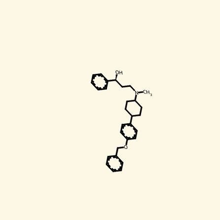 CN(CC[C@H](O)c1ccccc1)C1CCC(c2ccc(OCc3ccccc3)cc2)CC1